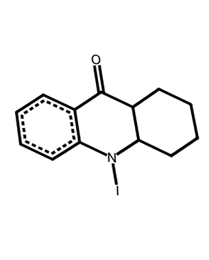 O=C1c2ccccc2N(I)C2CCCCC12